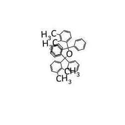 Cc1cccc(C(OC(c2ccccc2)(c2ccccc2)c2cccc(C)c2C)(c2ccccc2)c2ccccc2)c1C